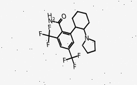 NC(=O)c1c(C2CCCCC2N2CCCC2)cc(C(F)(F)F)cc1C(F)(F)F